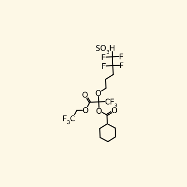 O=C(OC(OCCCC(F)(F)C(F)(F)S(=O)(=O)O)(C(=O)OCC(F)(F)F)C(F)(F)F)C1CCCCC1